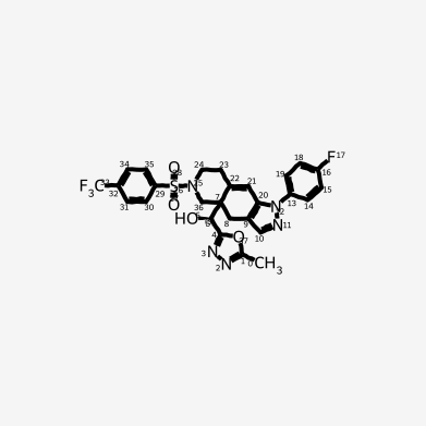 Cc1nnc([C@@H](O)C23Cc4cnn(-c5ccc(F)cc5)c4C=C2CCN(S(=O)(=O)c2ccc(C(F)(F)F)cc2)C3)o1